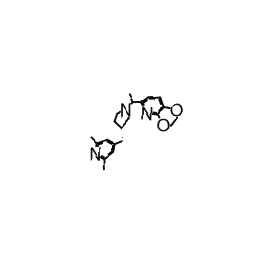 Cc1cc(C[C@@H]2CCN(C(C)c3ccc4c(n3)OCCO4)C2)cc(C)n1